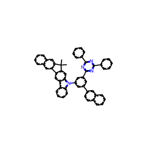 CC1(C)c2cc3ccccc3cc2-c2cc3c4ccccc4n(-c4cc(-c5ccc6ccccc6c5)cc(-c5nc(-c6ccccc6)nc(-c6ccccc6)n5)c4)c3cc21